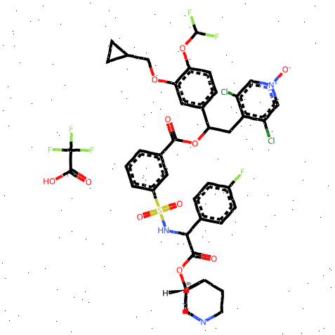 O=C(O)C(F)(F)F.O=C(OC(Cc1c(Cl)c[n+]([O-])cc1Cl)c1ccc(OC(F)F)c(OCC2CC2)c1)c1cccc(S(=O)(=O)NC(C(=O)O[C@H]2CN3CCC2CC3)c2ccc(F)cc2)c1